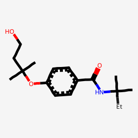 CCC(C)(C)NC(=O)c1ccc(OC(C)(C)CCO)cc1